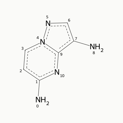 Nc1ccn2ncc(N)c2n1